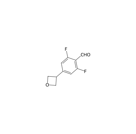 O=Cc1c(F)cc(C2COC2)cc1F